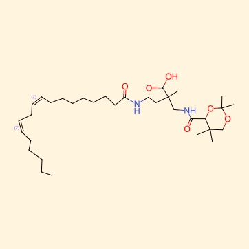 CCCCC/C=C\C/C=C\CCCCCCCC(=O)NCCC(C)(CNC(=O)C1OC(C)(C)OCC1(C)C)C(=O)O